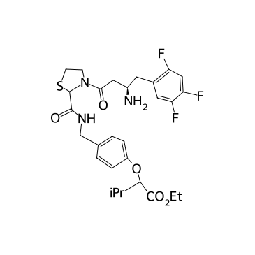 CCOC(=O)C(Oc1ccc(CNC(=O)C2SCCN2C(=O)C[C@H](N)Cc2cc(F)c(F)cc2F)cc1)C(C)C